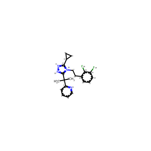 CC(C)(c1ccccn1)c1nnc(C2CC2)n1CCc1cccc(F)c1F